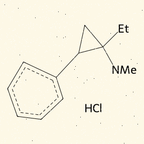 CCC1(NC)CC1c1ccccc1.Cl